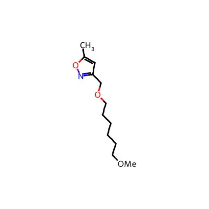 COCCCCCCOCc1cc(C)on1